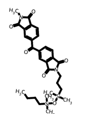 CCCC[Si](C)(C)O[Si](C)(C)CCCN1C(=O)c2ccc(C(=O)c3ccc4c(c3)C(=O)N(C)C4=O)cc2C1=O